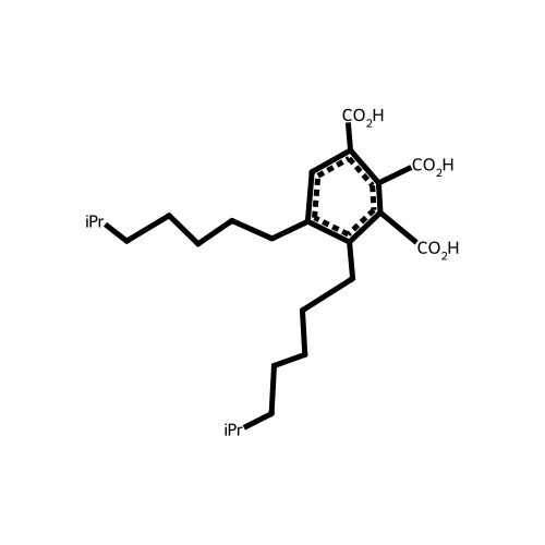 CC(C)CCCCCc1cc(C(=O)O)c(C(=O)O)c(C(=O)O)c1CCCCCC(C)C